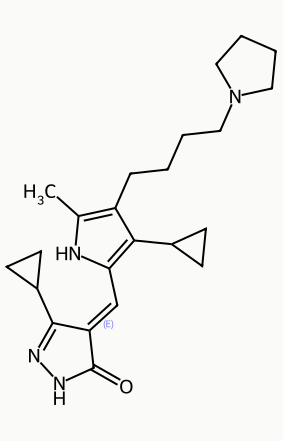 Cc1[nH]c(/C=C2/C(=O)NN=C2C2CC2)c(C2CC2)c1CCCCN1CCCC1